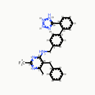 Cc1nc(C(F)(F)F)nc(NCc2ccc(-c3ccccc3-c3nnn[nH]3)cc2)c1Cc1ccccc1